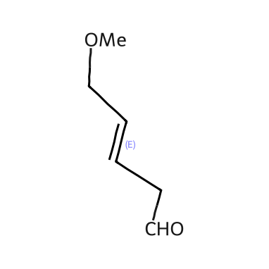 COC/C=C/CC=O